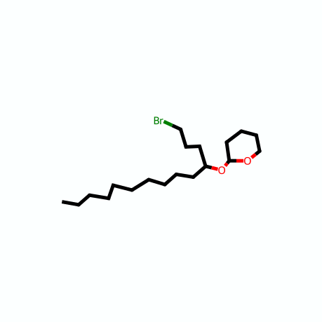 CCCCCCCCCCC(CCCBr)OC1CCCCO1